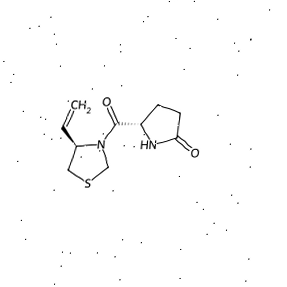 C=C[C@@H]1CSCN1C(=O)[C@@H]1CCC(=O)N1